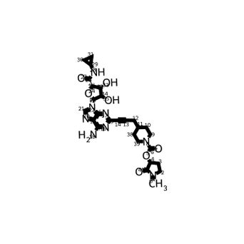 CN1CCC(OC(=O)N2CCC(CC#Cc3nc(N)c4ncn([C@@H]5O[C@H](C(=O)NC6CC6)[C@H](O)C5O)c4n3)CC2)C1=O